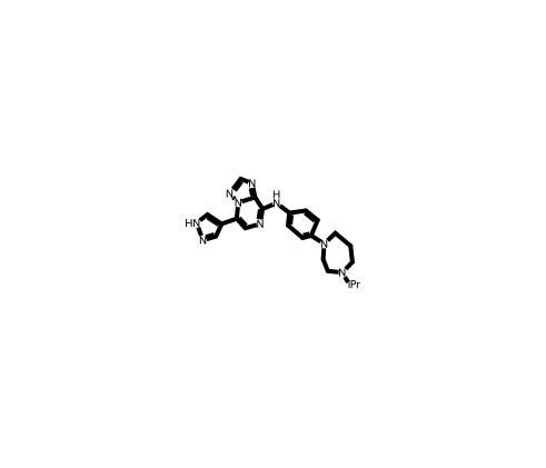 CC(C)N1CCCN(c2ccc(Nc3ncc(-c4cn[nH]c4)n4ncnc34)cc2)CC1